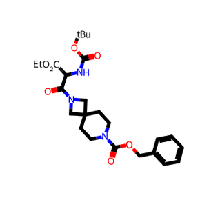 CCOC(=O)C(NC(=O)OC(C)(C)C)C(=O)N1CC2(CCN(C(=O)OCc3ccccc3)CC2)C1